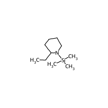 CCC1CCCCN1[Si](C)(C)C